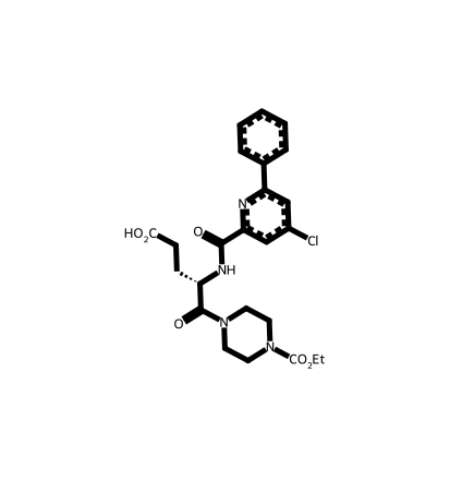 CCOC(=O)N1CCN(C(=O)[C@H](CCC(=O)O)NC(=O)c2cc(Cl)cc(-c3ccccc3)n2)CC1